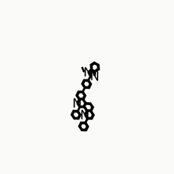 CCn1c(-c2ccc(-c3ccc4nc(-c5ccccc5)c5c(ccc6ccc(-c7ccccc7)nc65)c4c3)cc2)nc2ccccc21